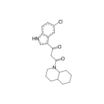 O=C(CC(=O)N1CCCC2CCCCC21)c1c[nH]c2ccc(Cl)cc12